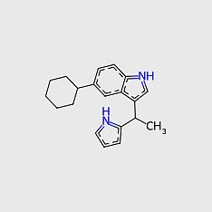 CC(c1ccc[nH]1)c1c[nH]c2ccc(C3CCCCC3)cc12